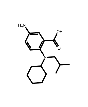 CC(C)CN(c1ccc(N)cc1C(=O)O)C1CCCCC1